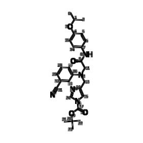 CC(C)Oc1ccc(NC(=O)CN(Cc2cn(C(=O)OC(C)(C)C)cn2)c2cccc(C#N)c2)cc1